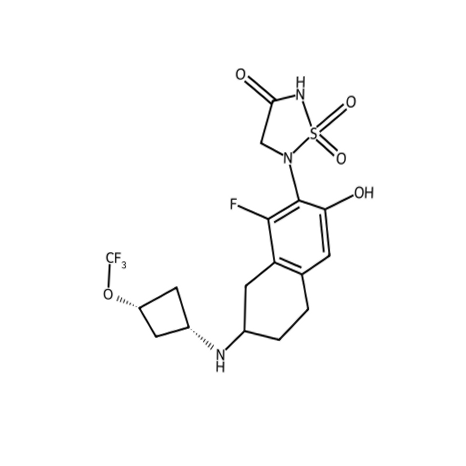 O=C1CN(c2c(O)cc3c(c2F)CC(N[C@H]2C[C@@H](OC(F)(F)F)C2)CC3)S(=O)(=O)N1